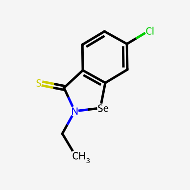 CCn1[se]c2cc(Cl)ccc2c1=S